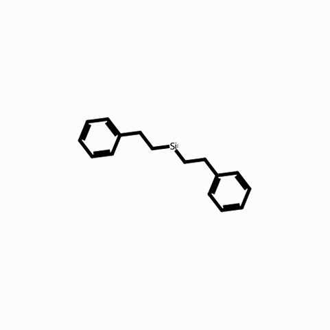 c1ccc(CC[Si]CCc2ccccc2)cc1